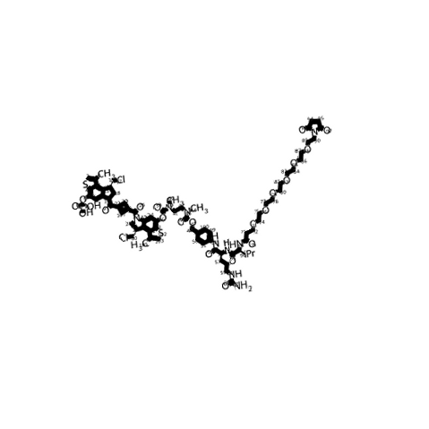 Cc1csc2c(OP(=O)(O)O)cc3c(c12)[C@H](CCl)CC3C(=O)C12CC(C(=O)N3C[C@@H](CCl)c4c3cc(OC(=O)N(C)CCN(C)C(=O)OCc3ccc(NC(=O)[C@H](CCCNC(N)=O)NC(=O)[C@@H](NC(=O)CCOCCOCCOCCOCCOCCOCCN5C(=O)C=CC5=O)C(C)C)cc3)c3scc(C)c43)(C1)C2